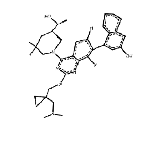 C[C@H](O)[C@H]1CN(c2nc(OCC3(CN(C)C)CC3)nc3c(F)c(-c4cc(O)cc5ccccc45)c(Cl)cc23)CC(C)(C)C1